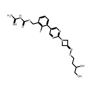 N=C(N)NC(=O)OCc1cccc(-c2cnc(N3CC(=NOCCC(O)CO)C3)nc2)c1F